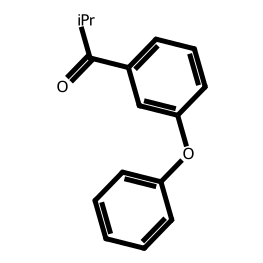 CC(C)C(=O)c1cccc(Oc2ccccc2)c1